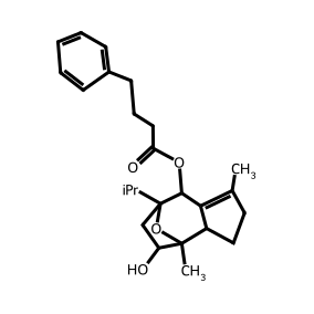 CC1=C2C(CC1)C1(C)OC(C(C)C)(CC1O)C2OC(=O)CCCc1ccccc1